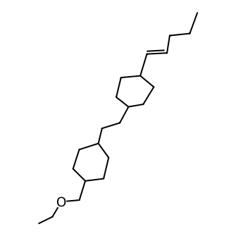 CCCC=CC1CCC(CCC2CCC(COCC)CC2)CC1